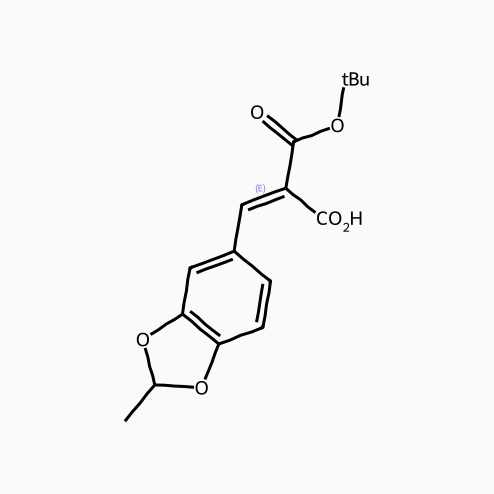 CC1Oc2ccc(/C=C(\C(=O)O)C(=O)OC(C)(C)C)cc2O1